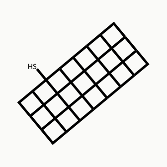 SC12C3CC4C5CC6C7C8C9C%10C%11CC%12C%13CC%14C%15C%16C1C1%17C%16%18C%15%16C%13%14C%12%11C%10%16C9%18C81C71C56C43C21%17